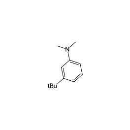 CN(C)c1cccc(C(C)(C)C)c1